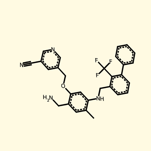 Cc1cc(CN)c(OCc2cncc(C#N)c2)cc1NCc1cccc(-c2ccccc2)c1C(F)(F)F